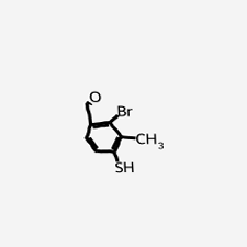 Cc1c(S)ccc(C=O)c1Br